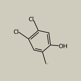 [CH2]c1cc(Cl)c(Cl)cc1O